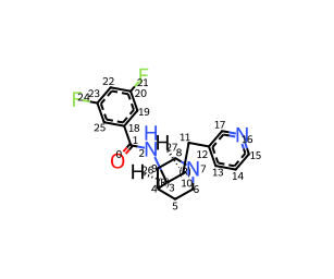 O=C(N[C@@H]1C2CCN(CC2)[C@@H]1Cc1cccnc1)c1cc(F)cc(F)c1